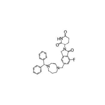 O=C1CCC(N2Cc3cc(CN4CCCN(C(c5ccccc5)c5ccccc5)CC4)cc(F)c3C2=O)C(=O)N1